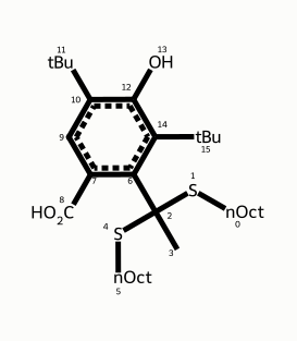 CCCCCCCCSC(C)(SCCCCCCCC)c1c(C(=O)O)cc(C(C)(C)C)c(O)c1C(C)(C)C